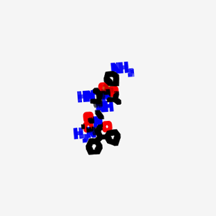 COC(=O)N(CCN[C@@H]1CNC[C@H]1N(CC(C)C)S(=O)(=O)c1ccc(N)cc1)C(=O)[C@@H](N)C(c1ccccc1)c1ccccc1